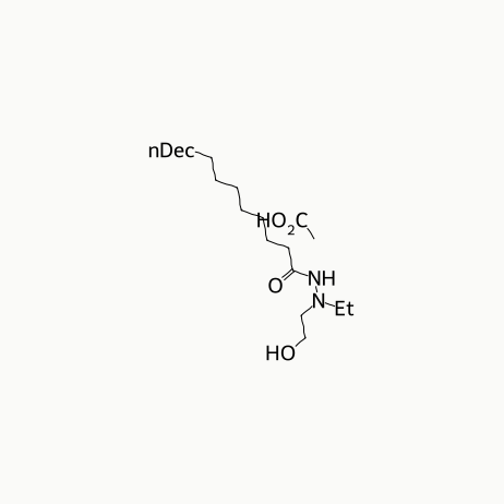 CC(=O)O.CCCCCCCCCCCCCCCCCC(=O)NN(CC)CCO